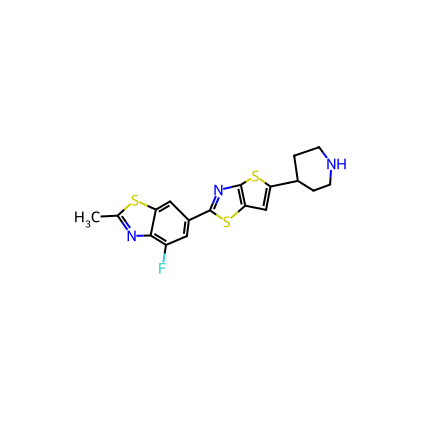 Cc1nc2c(F)cc(-c3nc4sc(C5CCNCC5)cc4s3)cc2s1